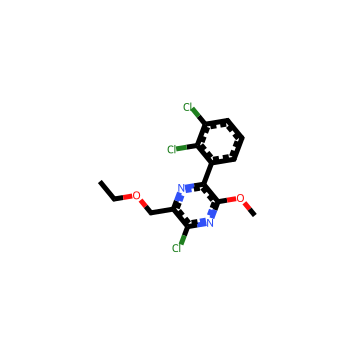 CCOCc1nc(-c2cccc(Cl)c2Cl)c(OC)nc1Cl